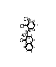 O=C1c2ccccc2CCC12OC2c1cccc(Cl)c1Cl